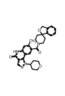 Cc1cc2[nH]c(=O)c3cnn(C4CCOCC4)c3c2cc1C(=O)N1CCC2(CC1)OCc1ccccc12